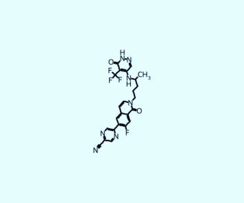 CC(CCCn1ccc2cc(-c3cnc(C#N)cn3)c(F)cc2c1=O)Nc1cn[nH]c(=O)c1C(F)(F)F